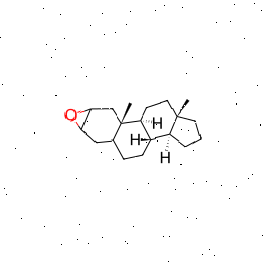 C[C@@]12CCC[C@H]1[C@@H]1CCC3CC4OC4C[C@]3(C)[C@H]1CC2